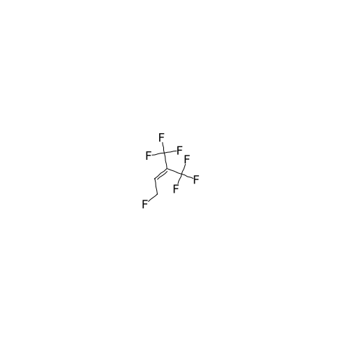 FCC=C(C(F)(F)F)C(F)(F)F